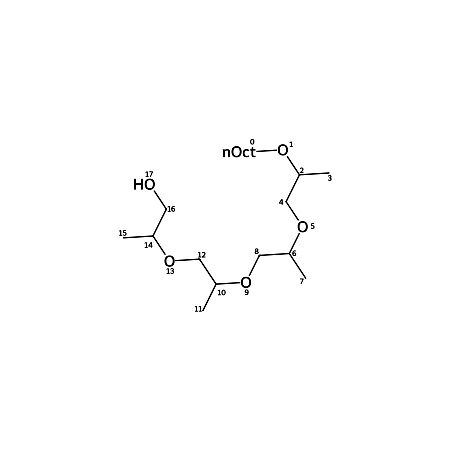 CCCCCCCCOC(C)COC(C)COC(C)COC(C)CO